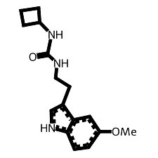 COc1ccc2[nH]cc(CCNC(=O)NC3CCC3)c2c1